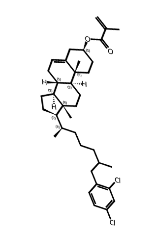 C=C(C)C(=O)O[C@H]1CC[C@@]2(C)C(=CC[C@H]3[C@@H]4CC[C@H]([C@H](C)CCCC(C)Cc5ccc(Cl)cc5Cl)[C@@]4(C)CC[C@@H]32)C1